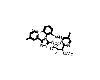 COc1cccc(OC)c1-n1c(NS(=O)(=O)[C@@H](C)[C@H](OC)c2ncc(F)cn2)nnc1-c1cc(C)ccn1